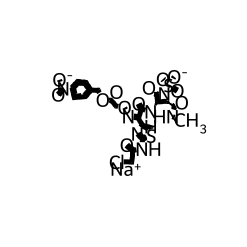 CNC(=O)[C@H]1[C@@H](NC(=O)/C(=N\OCC(=O)OCc2ccc([N+](=O)[O-])cc2)c2csc(NC(=O)CCl)n2)C(=O)N1S(=O)(=O)[O-].[Na+]